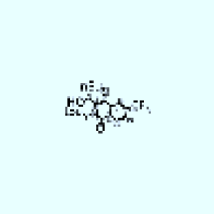 CCCCOc1c(CO)n(CC(C)(C)C)c(=O)c2ccc(C(F)(F)F)cc12